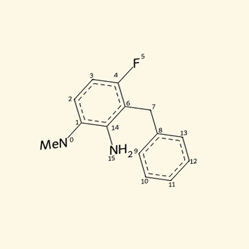 CNc1ccc(F)c(Cc2ccccc2)c1N